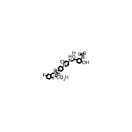 C.O=C(O)CN(Cc1cc(F)ccc1F)S(=O)(=O)c1ccc(N2CCC(NC[C@H](O)c3ccc(O)c(N=S(=O)=O)c3)CC2)cc1